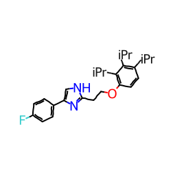 CC(C)c1ccc(OCCc2nc(-c3ccc(F)cc3)c[nH]2)c(C(C)C)c1C(C)C